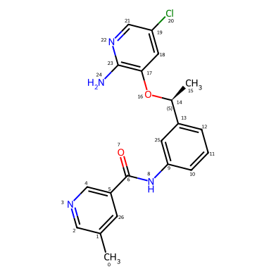 Cc1cncc(C(=O)Nc2cccc([C@H](C)Oc3cc(Cl)cnc3N)c2)c1